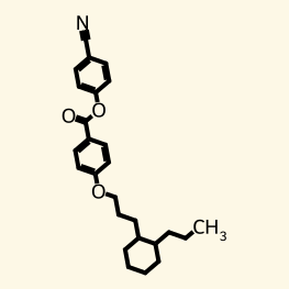 CCCC1CCCCC1CCCOc1ccc(C(=O)Oc2ccc(C#N)cc2)cc1